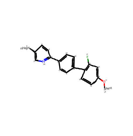 CCCCCCCc1ccc(-c2ccc(-c3ccc(OCCCCC)cc3F)cc2)nc1